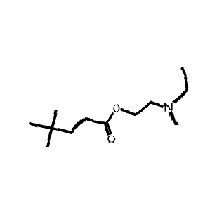 CCN(C)CCOC(=O)CCC(C)(C)C